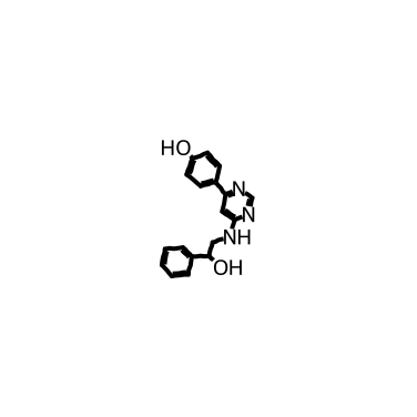 Oc1ccc(-c2cc(NCC(O)c3ccccc3)ncn2)cc1